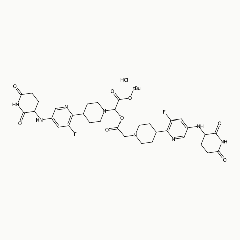 CC(C)(C)OC(=O)C(OC(=O)CN1CCC(c2ncc(NC3CCC(=O)NC3=O)cc2F)CC1)N1CCC(c2ncc(NC3CCC(=O)NC3=O)cc2F)CC1.Cl